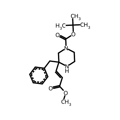 COC(=O)C=CC1(Cc2ccccc2)CN(C(=O)OC(C)(C)C)CCN1